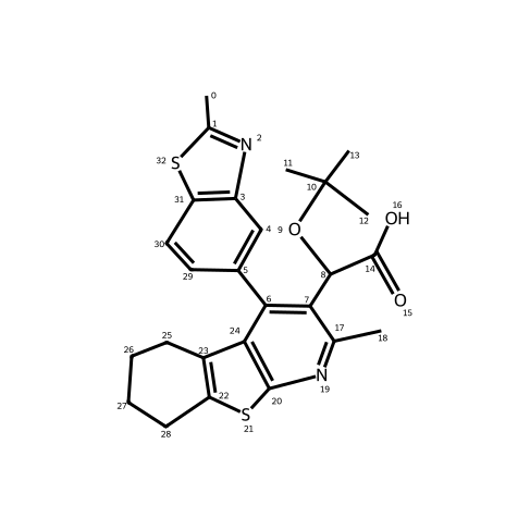 Cc1nc2cc(-c3c(C(OC(C)(C)C)C(=O)O)c(C)nc4sc5c(c34)CCCC5)ccc2s1